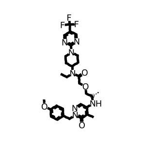 CCN(C(=O)COC[C@H](C)Nc1cnn(Cc2ccc(OC)cc2)c(=O)c1C)C1CCN(c2ncc(C(F)(F)F)cn2)CC1